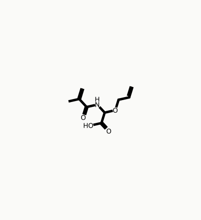 C=CCOC(NC(=O)C(=C)C)C(=O)O